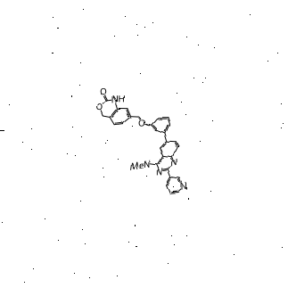 CNc1nc(-c2cccnc2)nc2ccc(-c3cccc(OCc4ccc5c(c4)NC(=O)OC5)c3)cc12